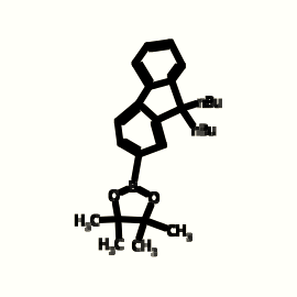 CCCCC1(CCCC)c2ccccc2-c2ccc(B3OC(C)(C)C(C)(C)O3)cc21